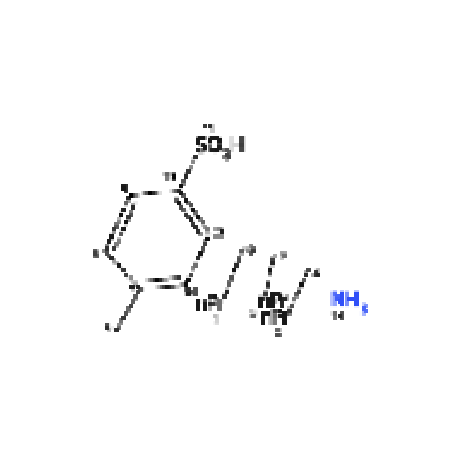 CCCC.CCCC.CCCC.Cc1ccc(S(=O)(=O)O)cc1.N